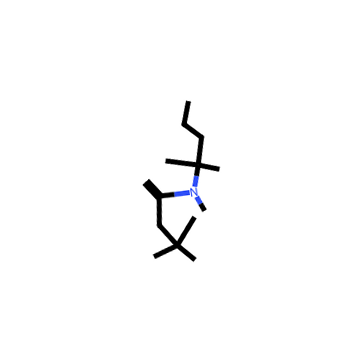 C=C(CC(C)(C)C)N(C)C(C)(C)CCC